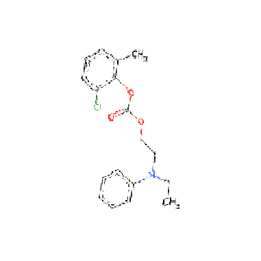 CCN(CCOC(=O)Oc1c(C)cccc1Cl)c1ccccc1